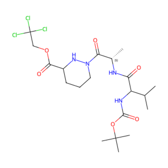 CC(C)C(NC(=O)OC(C)(C)C)C(=O)N[C@@H](C)C(=O)N1CCCC(C(=O)OCC(Cl)(Cl)Cl)N1